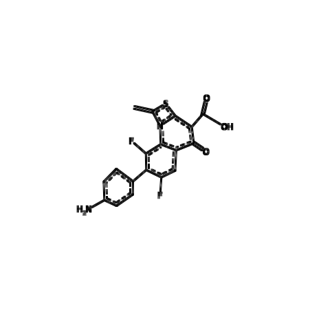 C=c1sc2c(C(=O)O)c(=O)c3cc(F)c(-c4ccc(N)cc4)c(F)c3n12